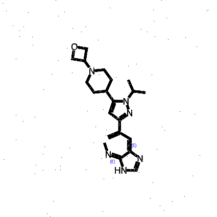 C=C(/C=C1/N=CN/C1=N/C)c1cc(C2CCN(C3COC3)CC2)n(C(C)C)n1